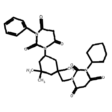 CC1(C)CC(N2C(=O)CC(=O)N(c3ccccc3)C2=O)CC(C)(CN2C(=O)CC(=O)N(C3CCCCC3)C2=O)C1